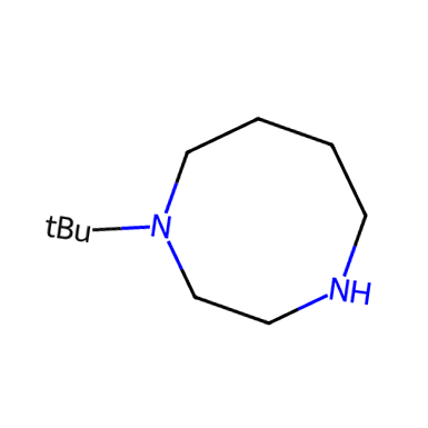 CC(C)(C)N1CCCCNCC1